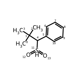 CC(C)(C)C(c1ccccc1)[SH](=O)=O